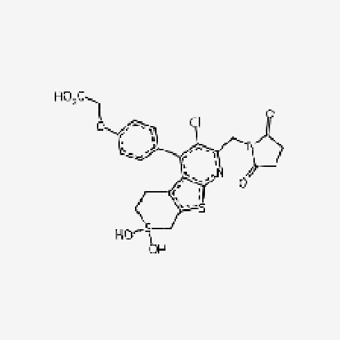 O=C(O)COc1ccc(-c2c(Cl)c(CN3C(=O)CCC3=O)nc3sc4c(c23)CCS(O)(O)C4)cc1